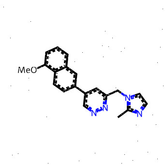 COc1cccc2cc(-c3cnnc(Cn4ccnc4C)c3)ccc12